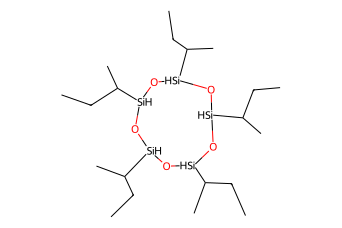 CCC(C)[SiH]1O[SiH](C(C)CC)O[SiH](C(C)CC)O[SiH](C(C)CC)O[SiH](C(C)CC)O1